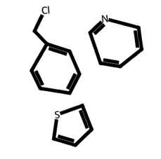 ClCc1ccccc1.c1ccncc1.c1ccsc1